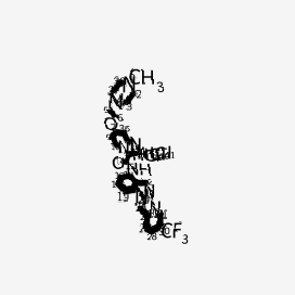 CN1CCN(CCOc2ccn3c(C(=O)Nc4cccc5c4cnn5Cc4ccc(C(F)(F)F)cn4)cnc3c2)CC1.Cl.Cl.Cl